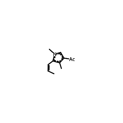 C/C=C\c1c(C)c(C(C)=O)cn1C